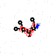 CC1C(OCc2ccccc2)[C@H](OCc2ccccc2)CO[C@H]1O[C@H]1C(C)O[C@@H](OC2C(C)[C@@H](N=[N+]=[N-])C(COCc3ccccc3)O[C@H]2C)C2OC(C)(C)OC21